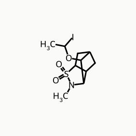 CC(I)OC1C2CC3C1N(C)S(=O)(=O)C3C2